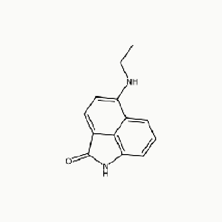 CCNc1ccc2c3c(cccc13)NC2=O